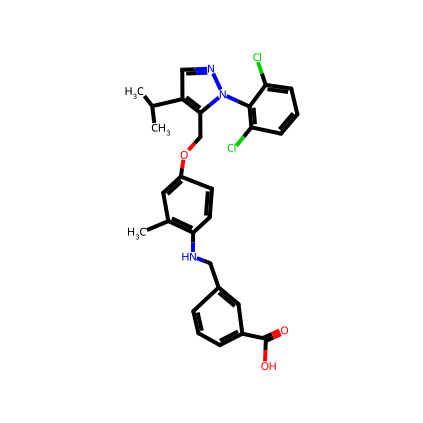 Cc1cc(OCc2c(C(C)C)cnn2-c2c(Cl)cccc2Cl)ccc1NCc1cccc(C(=O)O)c1